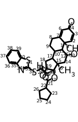 CC12C=CC(=O)C=C1CCC1C2[C@@H](O)CC2(C)C1C[C@@H]1OC(C3CCCC3)O[C@]12C(=O)CSc1nc2ccccc2s1